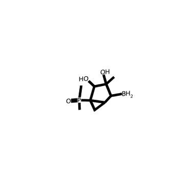 BC1C2CC2(P(C)(C)=O)C(O)C1(C)O